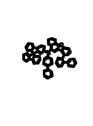 c1ccc(-c2ccc(N(c3ccc4c(c3)C3(c5ccccc5-c5ccccc53)c3ccccc3-4)c3cc4c(oc5cccc(-c6ccccc6-c6ccccc6)c54)c4ccccc34)cc2)cc1